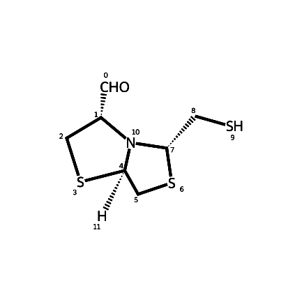 O=C[C@H]1CS[C@@H]2CS[C@@H](CS)N12